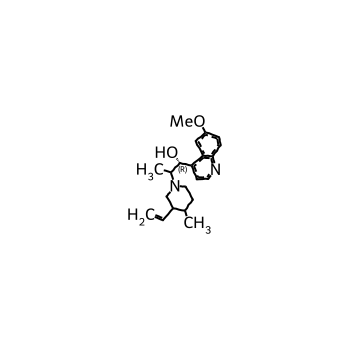 C=CC1CN(C(C)[C@H](O)c2ccnc3ccc(OC)cc23)CCC1C